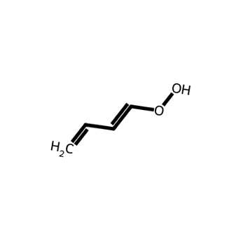 C=CC=COO